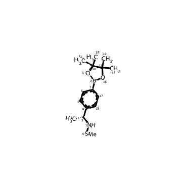 CSN[C@H](C)c1ccc(B2OC(C)(C)C(C)(C)O2)cc1